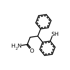 NC(=O)CC(c1ccccc1)c1ccccc1S